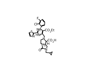 CCOC(=O)C1=C(CN2CCN3C(=O)N(CC4CC4)C[C@@H]3[C@@H]2C(=O)O)NC(c2nccs2)=N[C@H]1c1cccc(F)c1Cl